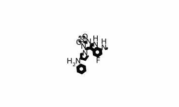 CNc1cc(F)cc2c1[nH]c1nc(S(C)(=O)=O)nc(N3CCC(N)C3)c12.c1ccccc1